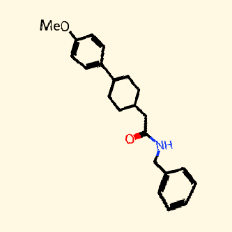 COc1ccc(C2CCC(CC(=O)NCc3ccccc3)CC2)cc1